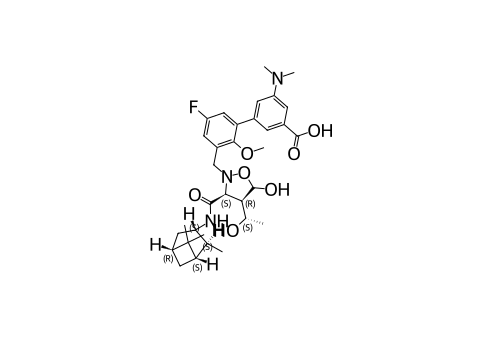 COc1c(CN2OC(O)[C@@H]([C@H](C)O)[C@H]2C(=O)N[C@H]2C[C@H]3C[C@@H]([C@@H]2C)C3(C)C)cc(F)cc1-c1cc(C(=O)O)cc(N(C)C)c1